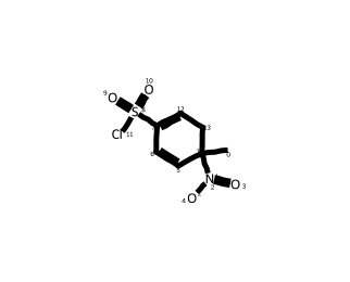 CC1([N+](=O)[O-])C=CC(S(=O)(=O)Cl)=CC1